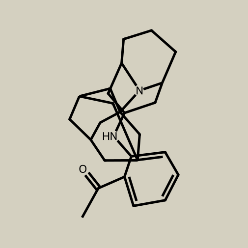 CC(=O)c1ccccc1NC1CC2CCCC(C1)N2C12CC3CC(CC(C3)C1)C2